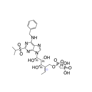 C/C=C(/COP(=O)(O)CP(=O)(O)O)[C@@H](O)[C@@H](O)[C@@H](O)n1cnc2c(NCc3ccccc3)nc(S(=O)(=O)C(C)C)nc21